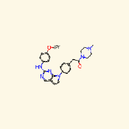 CC(C)Oc1ccc(Nc2ncc3ccn(-c4ccc(CC(=O)N5CCN(C)CC5)cc4)c3n2)cc1